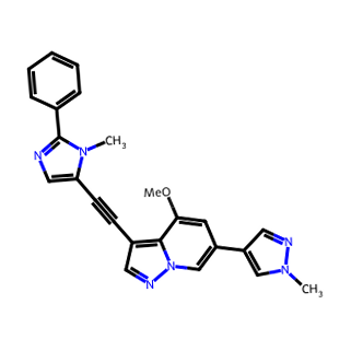 COc1cc(-c2cnn(C)c2)cn2ncc(C#Cc3cnc(-c4ccccc4)n3C)c12